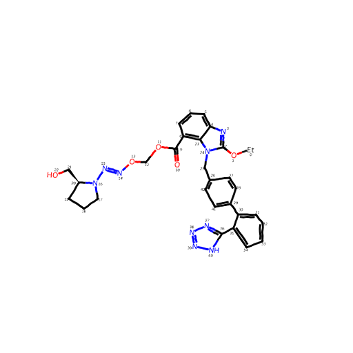 CCOc1nc2cccc(C(=O)OCO/N=N/N3CCC[C@H]3CO)c2n1Cc1ccc(-c2ccccc2-c2nnn[nH]2)cc1